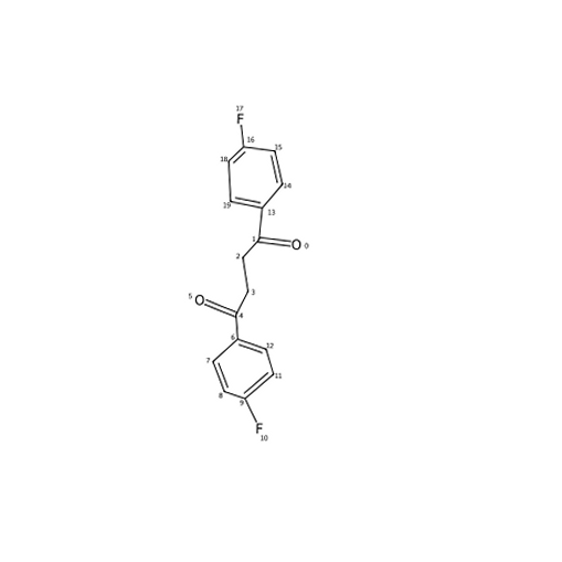 O=C(CCC(=O)c1ccc(F)cc1)c1ccc(F)cc1